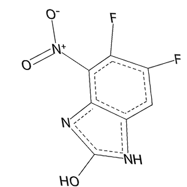 O=[N+]([O-])c1c(F)c(F)cc2[nH]c(O)nc12